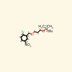 CC(C)(C)[Si](C)(C)OCCCOCc1cc([N+](=O)[O-])ccc1F